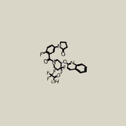 O=C(O)C(F)(F)F.O=C(c1cc(N2CCCC2=O)ccc1F)N1CCC(F)(F)[C@@H](Oc2ccc3ccccc3n2)C1